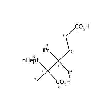 CCCCCCCC(C)(C(=O)O)C(CCC(=O)O)(C(C)C)C(C)C